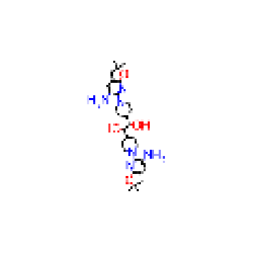 CC1(C)Cc2cc(N)c(N3CCC(C(O)C(O)C4CCN(c5nc6c(cc5N)CC(C)(C)O6)CC4)CC3)nc2O1